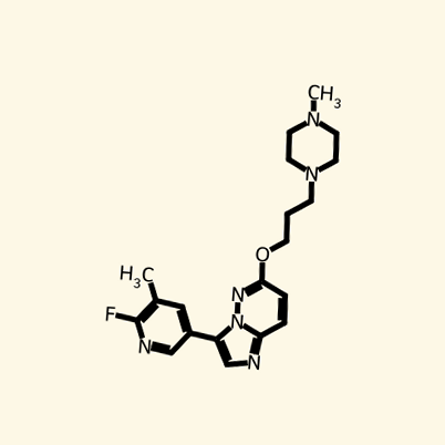 Cc1cc(-c2cnc3ccc(OCCCN4CCN(C)CC4)nn23)cnc1F